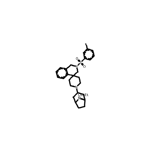 CCOC(=O)N1C2CCC1CC(N1CCC3(CC1)CN(S(=O)(=O)c1cccc(C)c1)Cc1ccccc13)C2